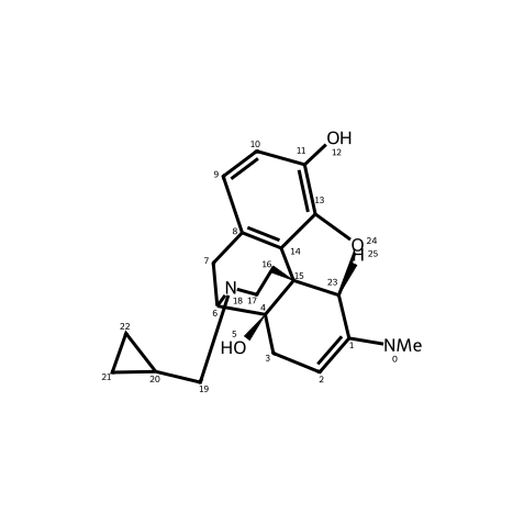 CNC1=CC[C@]2(O)C3Cc4ccc(O)c5c4[C@]2(CCN3CC2CC2)[C@@H]1O5